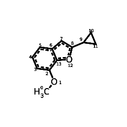 COc1cccc2cc(C3CC3)oc12